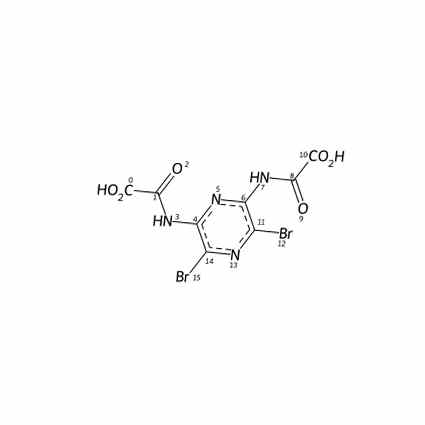 O=C(O)C(=O)Nc1nc(NC(=O)C(=O)O)c(Br)nc1Br